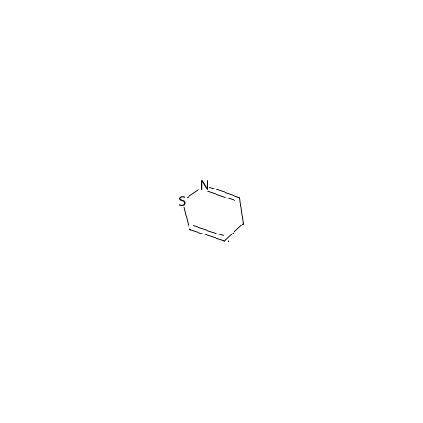 [C]1=CSN=CC1